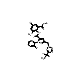 CNC(=S)c1cc(Cl)cc(C)c1NC(=O)c1cc(Cn2nnc(C(C)(F)F)n2)nn1-c1ncccc1Cl